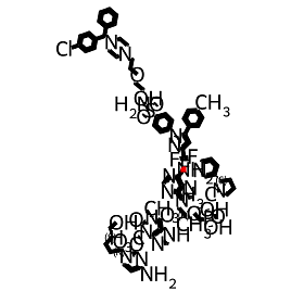 CN1CCC[C@H]1c1cccnc1.C[C@H](Cn1cnc2c(N)ncnc21)OCP(=O)(O)O.Cc1ccc(-c2cc(C(F)(F)F)nn2-c2ccc(S(N)(=O)=O)cc2)cc1.Cn1c(=O)c2[nH]cnc2n(C)c1=O.Nc1ccn([C@H]2CC[C@@H](CO)O2)c(=O)n1.OCCOCCN1CCN(C(c2ccccc2)c2ccc(Cl)cc2)CC1